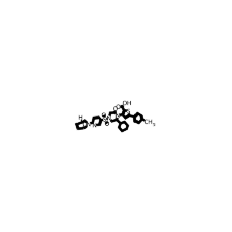 Cc1ccc(-c2cc(N3C(=O)CN(S(=O)(=O)c4ccc(N5CC6CC[C@H](C5)O6)nc4)CC3C3CCCCC3)c(C(=O)O)s2)cc1